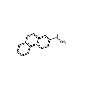 CNc1ccc2c(ccc3ccccc32)c1